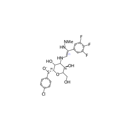 CNN/C(=C\NC1C(O)[C@@H]([S+]([O-])c2ccc(Cl)cc2)OC(CO)[C@@H]1O)c1cc(F)c(F)c(F)c1